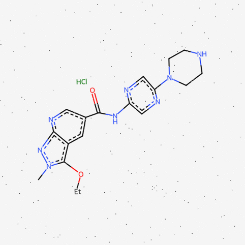 CCOc1c2cc(C(=O)Nc3cnc(N4CCNCC4)cn3)cnc2nn1C.Cl